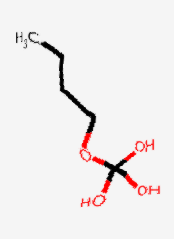 CCCCOC(O)(O)O